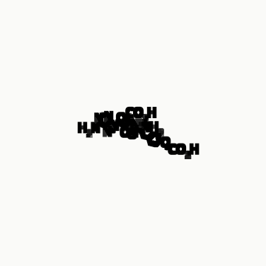 Nc1ncnc2c1ncn2[C@@H]1O[C@H](C(=O)O)[C@@H](NC(=O)[C@@H](N)Cc2ccc(OCC(=O)O)cc2)[C@H]1O